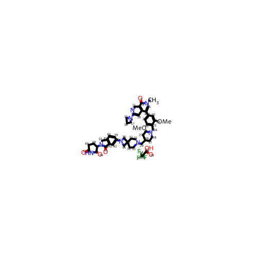 COc1cc(-c2cn(C)c(=O)c3cnc(N4CCC4)cc23)cc(OC)c1CN1CCC(CN2CCC3(CC2)CN(c2ccc4c(c2)C(=O)N(C2CCC(=O)NC2=O)C4)C3)CC1.O=C(O)C(F)(F)F